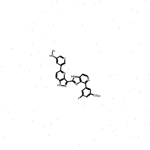 COc1cc(F)cc(-c2nccc3[nH]c(-c4n[nH]c5ccc(-c6cncc(NC(C)C)c6)nc45)nc23)c1